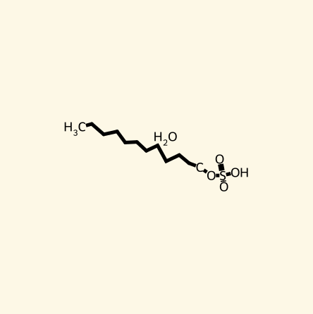 CCCCCCCCCCCCOS(=O)(=O)O.O